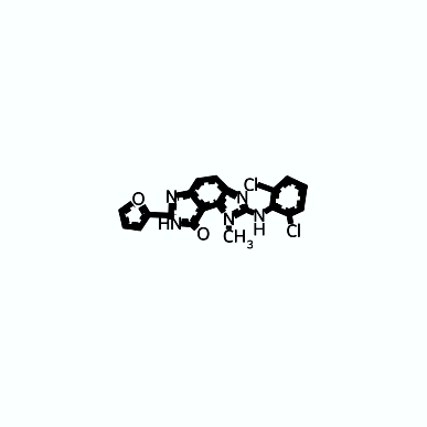 Cn1c(Nc2c(Cl)cccc2Cl)nc2ccc3nc(-c4ccco4)[nH]c(=O)c3c21